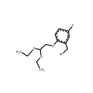 CCOC(COc1ccc(F)cc1CBr)OCC